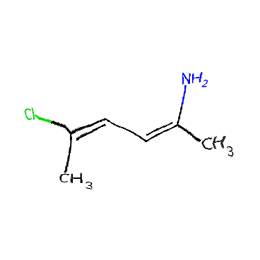 C/C(N)=C/C=C(\C)Cl